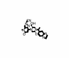 CC[C@@H]1CN(c2cc(=O)n(C)c3cn(CC#N)nc23)[C@@H](CO)CN1C(C)c1ccc2nccnc2c1